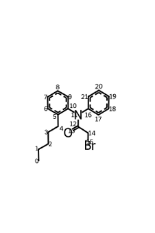 CCCCCc1ccccc1N(C(=O)CBr)c1ccccc1